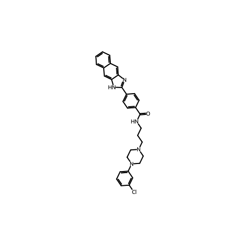 O=C(NCCCN1CCN(c2cccc(Cl)c2)CC1)c1ccc(-c2nc3cc4ccccc4cc3[nH]2)cc1